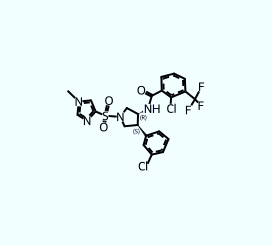 Cn1cnc(S(=O)(=O)N2C[C@H](NC(=O)c3cccc(C(F)(F)F)c3Cl)[C@@H](c3cccc(Cl)c3)C2)c1